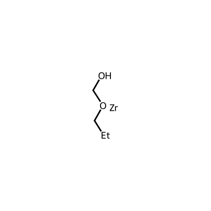 CCCOCO.[Zr]